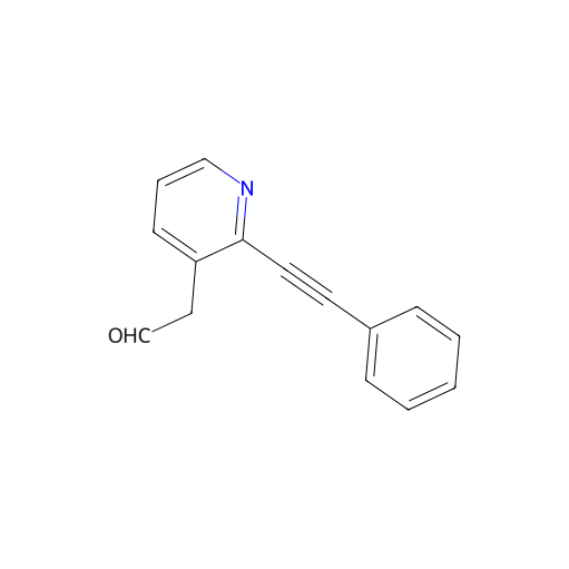 O=CCc1cccnc1C#Cc1ccccc1